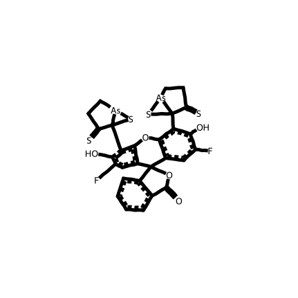 O=C1OC2(c3ccccc31)c1cc(F)c(O)c(C34S[As]3CCC4=S)c1Oc1c2cc(F)c(O)c1C12S[As]1CCC2=S